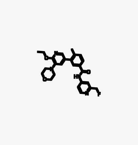 CCOc1ncc(-c2cc(C(=O)Nc3ccnc(CF)c3)ccc2C)cc1N1CCOCC1